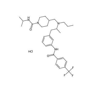 CCCN(CC1CCN(C(=O)NC(C)C)CC1)C(C)Cc1cccc(NC(=O)c2ccc(C(F)(F)F)cc2)c1.Cl